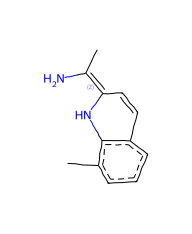 C/C(N)=C1\C=Cc2cccc(C)c2N1